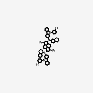 CCc1cccc(-n2c3ccccc3c3ccc(N(c4ccc5c(c4)CCCC5)c4cc(C(C)C)c5ccc6c(N(c7ccc8c9ccccc9n(-c9cccc(CC)c9)c8c7)C7CCCc8ccccc87)cc(C(C)C)c7ccc4c5c76)cc32)c1